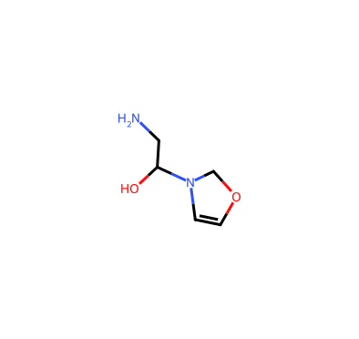 NCC(O)N1C=COC1